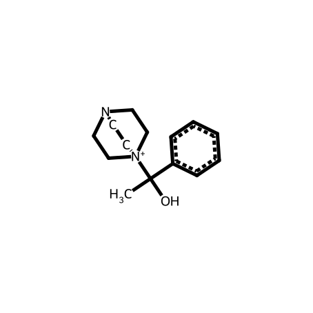 CC(O)(c1ccccc1)[N+]12CCN(CC1)CC2